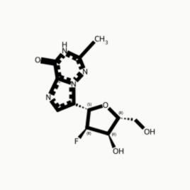 Cc1nn2c([C@@H]3O[C@H](CO)[C@@H](O)[C@H]3F)cnc2c(=O)[nH]1